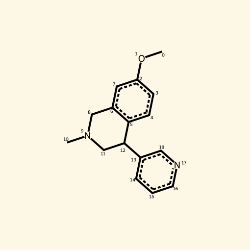 COc1ccc2c(c1)CN(C)CC2c1cccnc1